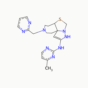 Cc1ccnc(NC2=CC34CCN(Cc5ncccn5)CCC3SCN4N2)n1